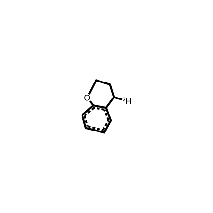 [2H]C1CCOc2ccccc21